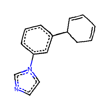 C1=CCC(c2cccc(-n3ccnc3)c2)C=C1